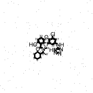 C[C@@H](C1CCCCC1)N(C)C(=O)c1cc(Oc2c(Cl)cc(Nc3nnn[nH]3)cc2Cl)ccc1O